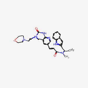 CC(c1cc2ccccc2[nH]1)N(C)C(=O)/C=C/c1cnc2c(c1)CN(CCN1CCOCC1)C(=O)N2